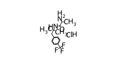 CC(N)C(=O)NC(C)(C)Cc1ccc(C(F)(F)F)cc1.Cl